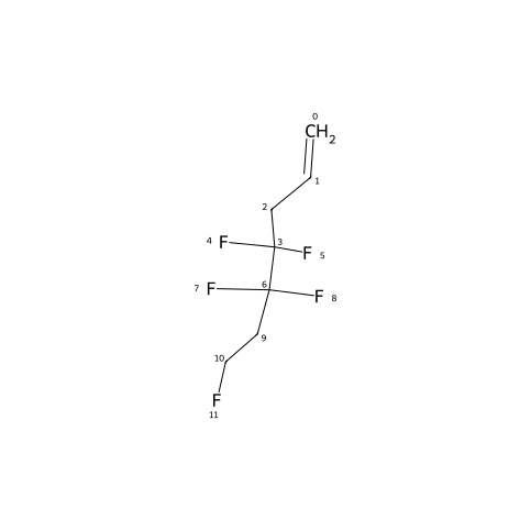 C=CCC(F)(F)C(F)(F)CCF